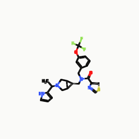 CC(c1ccc[nH]1)N1CC2C(CN(Cc3cccc(OC(F)(F)F)c3)C(=O)c3cscn3)C2C1